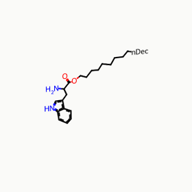 CCCCCCCCCCCCCCCCCCCOC(=O)C(N)Cc1c[nH]c2ccccc12